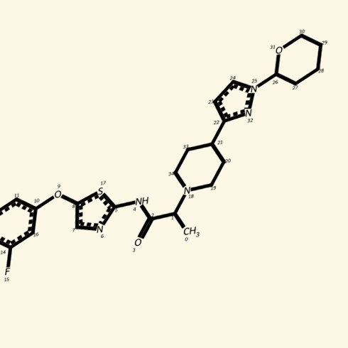 CC(C(=O)Nc1ncc(Oc2cccc(F)c2)s1)N1CCC(c2ccn(C3CCCCO3)n2)CC1